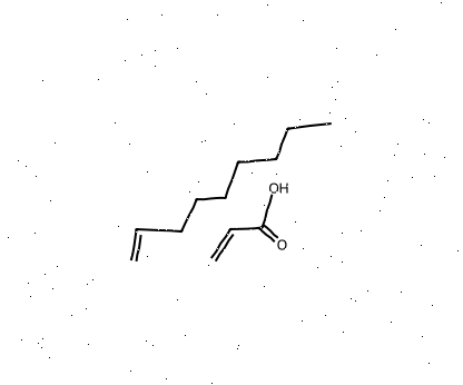 C=CC(=O)O.C=CCCCCCCC